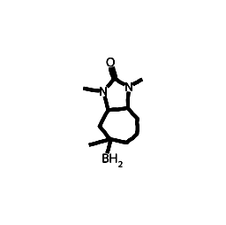 BC1(C)CCCC2C(C1)N(C)C(=O)N2C